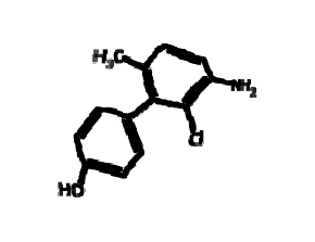 Cc1ccc(N)c(Cl)c1-c1ccc(O)cc1